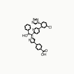 O=C(O)c1ccc(-c2cnn([C@H](c3ccc(-c4cc(Cl)ccc4-n4cnnn4)cn3)[C@@H](O)c3ccccc3)c2)cc1